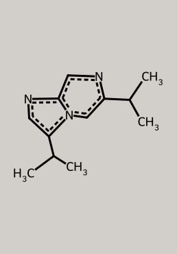 CC(C)c1cn2c(C(C)C)cnc2cn1